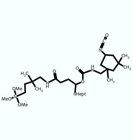 CCCCCCCC(CCC(=O)NCC(C)(C)CC[Si](OC)(OC)OC)OC(=O)NCC1(C)CC(N=C=O)CC(C)(C)C1